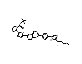 CCCC[C@H](C)c1ncc(-c2ccc(-c3ncc4cc(-c5cnc([C@@H]6CCCN6C(=O)OC(C)(C)C)[nH]5)ccc4n3)cc2)[nH]1